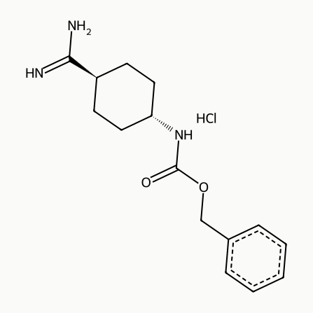 Cl.N=C(N)[C@H]1CC[C@H](NC(=O)OCc2ccccc2)CC1